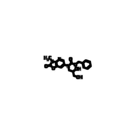 Cn1c(=O)oc2cc(N(CC(O)CO)C(=O)OCc3ccccc3)cnc21